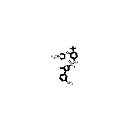 CN1CC[C@@H](Oc2cc(NS(=O)(=O)c3cc(-c4cccc(N)c4)c(Cl)s3)ccc2C(F)(F)F)C1